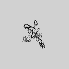 CO[C@H]1S[C@@H]2[C@@H](NC(=O)Cn3cnnn3)C(=O)N2C(C(=O)OC(c2ccccc2)c2ccccc2)=C1C